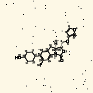 O=C1O[C@@H](COc2ccon2)[C@@H]2Cc3cc(C4CCC(O)CC4)c(F)cc3N12